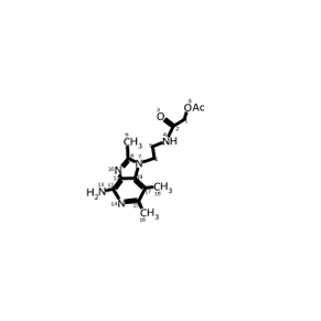 CC(=O)OCC(=O)NCCn1c(C)nc2c(N)nc(C)c(C)c21